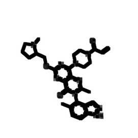 C=CC(=O)N1CCN(c2nc(OCC3CCCN3C)nc3c(=O)n(-c4c(C)ccc5[nH]ncc45)c(C)nc23)CC1